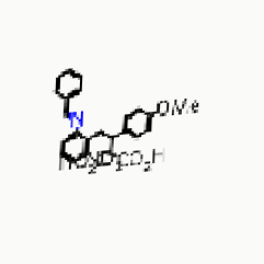 COc1ccc(C(Cc2c(/N=C/c3ccccc3)cccc2[N+](=O)[O-])C(C(=O)O)C(=O)O)cc1